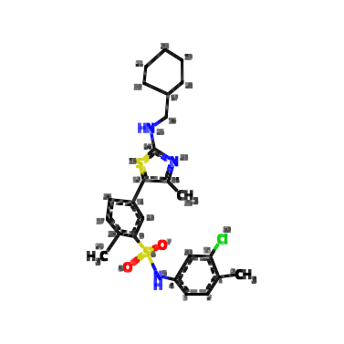 Cc1ccc(NS(=O)(=O)c2cc(-c3sc(NCC4CCCCC4)nc3C)ccc2C)cc1Cl